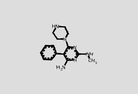 CNc1nc(N)c(-c2ccccc2)c(N2CCNCC2)n1